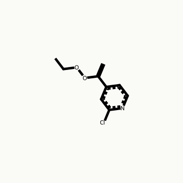 C=C(OOCC)c1ccnc(Cl)c1